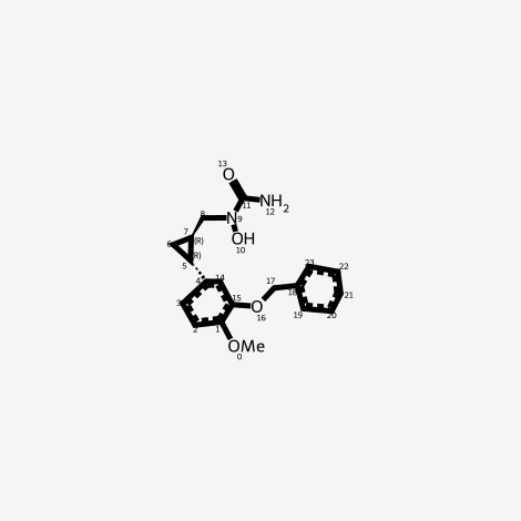 COc1ccc([C@@H]2C[C@H]2CN(O)C(N)=O)cc1OCc1ccccc1